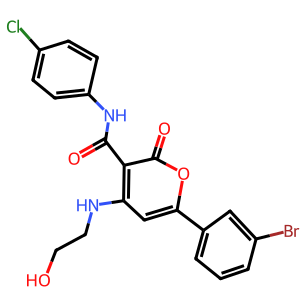 O=C(Nc1ccc(Cl)cc1)c1c(NCCO)cc(-c2cccc(Br)c2)oc1=O